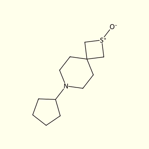 [O-][S+]1CC2(CCN(C3CCCC3)CC2)C1